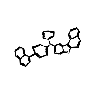 c1ccc(N(c2ccc(-c3cccc4ccccc34)cc2)c2ccc3oc4ccc5ccccc5c4c3c2)cc1